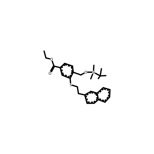 CCOC(=O)c1ccc(CO[Si](C)(C)C(C)(C)C)c(SCCc2ccc3ccccc3c2)c1